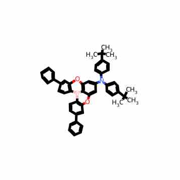 CC(C)(C)c1ccc(N(c2ccc(C(C)(C)C)cc2)c2cc3c4c(c2)Oc2cc(-c5ccccc5)ccc2B4c2ccc(-c4ccccc4)cc2O3)cc1